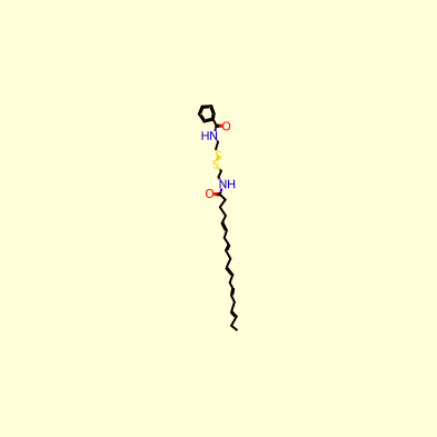 CCC=CCC=CCC=CCC=CCC=CCCCC(=O)NCCSSCCNC(=O)c1ccccc1